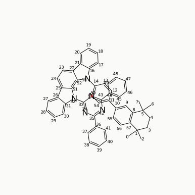 CC1(C)CCC(C)(C)c2cc(-c3ccc(-n4c5ccccc5c5ccc6c7ccccc7n(-c7nc(-c8ccccc8)nc(-c8ccccc8)n7)c6c54)cc3)ccc21